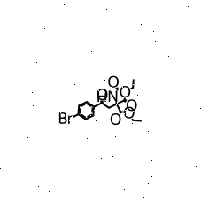 CCOC(=O)C(CC(=O)c1ccc(Br)cc1)(NC=O)C(=O)OCC